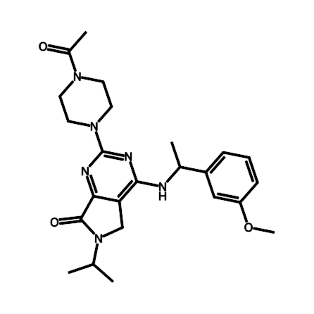 COc1cccc(C(C)Nc2nc(N3CCN(C(C)=O)CC3)nc3c2CN(C(C)C)C3=O)c1